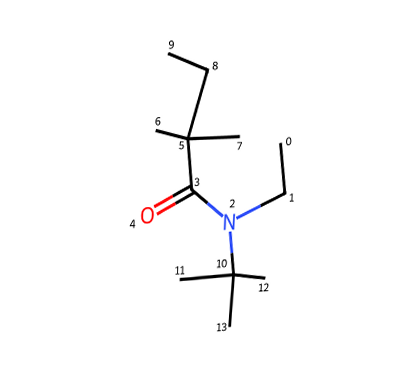 CCN(C(=O)C(C)(C)CC)C(C)(C)C